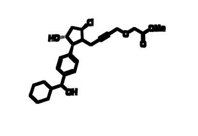 COC(=O)COCC#CCC1[C@H](Cl)C[C@@H](O)[C@@H]1c1ccc(C(O)C2CCCCC2)cc1